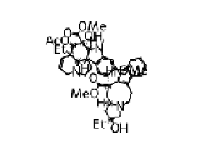 CC[C@]1(O)C[C@H]2C[C@](C(=O)OC)(c3cc4c(cc3OC)N(C)[C@H]3[C@@](O)(C(=O)OC)[C@H](OC(C)=O)[C@]5(CC)C=CCN6CC[C@]43[C@@H]65)c3[nH]c4ccccc4c3CCN2C1